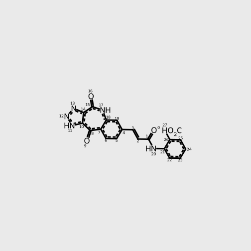 O=C(C=Cc1ccc2c(=O)c3[nH]nnc3c(=O)[nH]c2c1)Nc1ccccc1C(=O)O